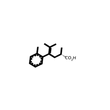 CC(C)=C(C[C@H](C)C(=O)O)c1ccccc1C